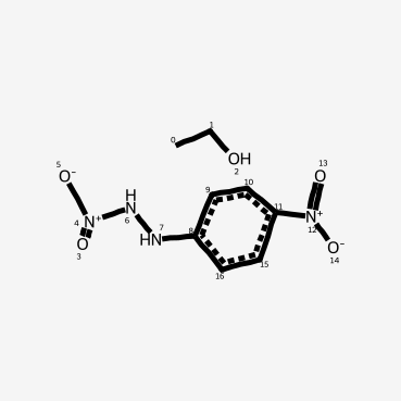 CCO.O=[N+]([O-])NNc1ccc([N+](=O)[O-])cc1